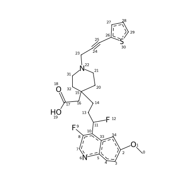 COc1ccc2ncc(F)c(C(F)CCC3(CC(=O)O)CCN(CC#Cc4cccs4)CC3)c2c1